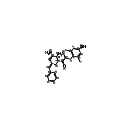 Cc1cc(O)cc(C)c1CC(N)C(=O)N(C/C=C\c1ccccc1)[C@H](C)C(N)=O